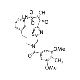 COc1cc(C(=O)N(CCCc2ccccc2)Cc2nc(C(=O)N(C)S(N)(=O)=O)cs2)cc(OC)c1C